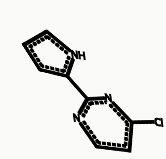 Clc1ccnc(-c2ccc[nH]2)n1